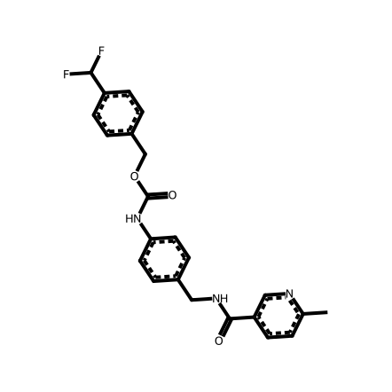 Cc1ccc(C(=O)NCc2ccc(NC(=O)OCc3ccc(C(F)F)cc3)cc2)cn1